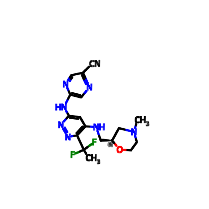 CN1CCO[C@@H](CNc2cc(Nc3cnc(C#N)cn3)nnc2C(C)(F)F)C1